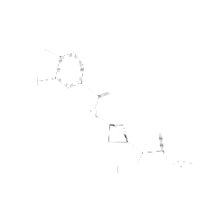 COC(=O)C(C)C12CC(NC(=O)c3ccc(Cl)c(Cl)c3)(C1)C2